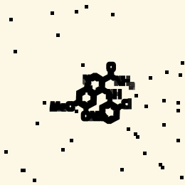 COc1cc2ncc(C(N)=O)c(Nc3ccccc3Cl)c2cc1OC